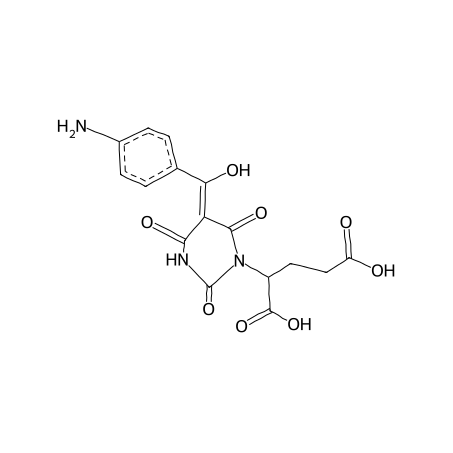 Nc1ccc(C(O)=C2C(=O)NC(=O)N(C(CCC(=O)O)C(=O)O)C2=O)cc1